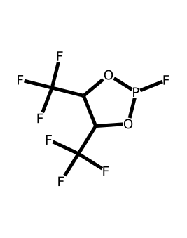 FP1OC(C(F)(F)F)C(C(F)(F)F)O1